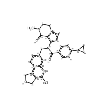 CN1CCn2ncc(N(Cc3ccc4c5c(c(Cl)nc4c3)COC5)C(=O)c3ccc(C4CC4)nc3)c2C1=O